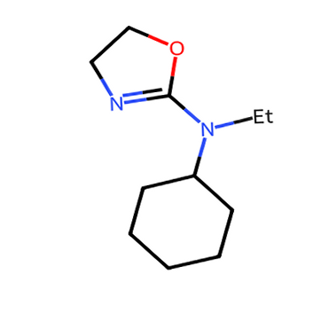 CCN(C1=NCCO1)C1CCCCC1